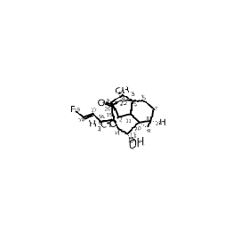 CO[C@@H]1CCC23CC[C@H]4C[C@@]4(C12)[C@H](O)CC(CC=CF)C(=O)[C@@H]3C